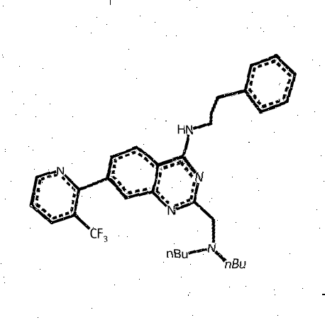 CCCCN(CCCC)Cc1nc(NCCc2ccccc2)c2ccc(-c3ncccc3C(F)(F)F)cc2n1